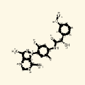 Cc1nn(-c2cc(F)c(NC(=O)[C@H](O)c3cccc(OC(F)(F)F)c3)cc2F)c2c(N)ncnc12